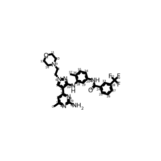 Cc1cc(-c2cn(CCN3CCOCC3)nc2Nc2cc(NC(=O)c3cccc(C(F)(F)F)c3)ccc2C)nc(N)n1